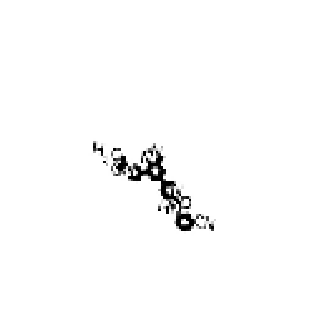 C=CC(=O)N1CCC(c2cc(-c3ccc(C(=O)Nc4cccc(C#N)c4)nc3)cc3cncnc23)C1